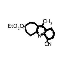 CCOC(=O)N1CCc2nc3c(C#N)cccc3c(C)c2CC1